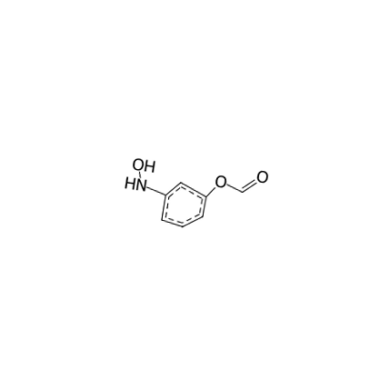 O=COc1cccc(NO)c1